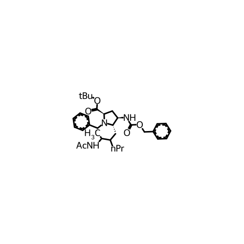 CCCC(C[C@H]1[C@H](NC(=O)OCc2ccccc2)C[C@H](C(=O)OC(C)(C)C)N1Cc1ccccc1)C(C)NC(C)=O